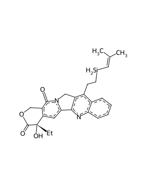 CC[C@@]1(O)C(=O)OCc2c1cc1n(c2=O)Cc2c-1nc1ccccc1c2CC[SiH2]C=C(C)C